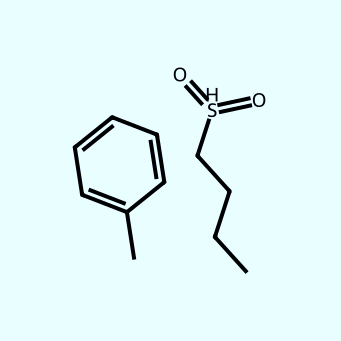 CCCC[SH](=O)=O.Cc1ccccc1